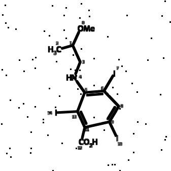 COC(C)CNc1c(I)cc(I)c(C(=O)O)c1I